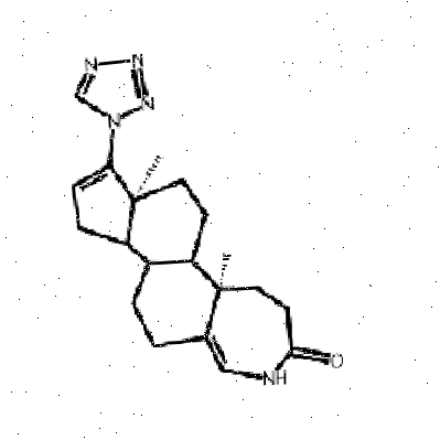 C[C@]12CCC(=O)NC=C1CCC1C2CC[C@]2(C)C(n3cnnn3)=CCC12